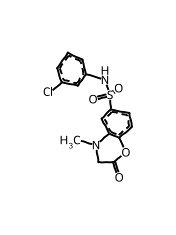 CN1CC(=O)Oc2ccc(S(=O)(=O)Nc3cccc(Cl)c3)cc21